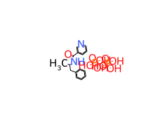 CC(Cc1ccccc1)NC(=O)c1cccnc1.O=P(O)(O)O.O=P(O)(O)O